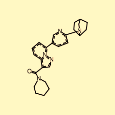 O=C(c1cnn2c(-c3ccc(N4CC5CCC4CC5)nc3)cccc12)N1CCCCC1